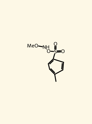 CONOS(=O)(=O)c1ccc(C)cc1